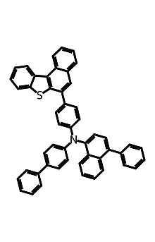 c1ccc(-c2ccc(N(c3ccc(-c4cc5ccccc5c5c4sc4ccccc45)cc3)c3ccc(-c4ccccc4)c4ccccc34)cc2)cc1